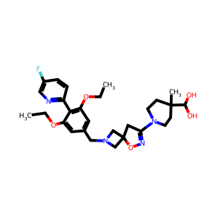 CCOc1cc(CN2CC3(CC(N4CCC(C)(C(O)O)CC4)=NO3)C2)cc(OCC)c1-c1ccc(F)cn1